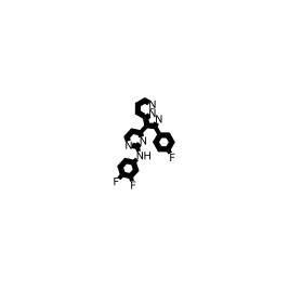 Fc1ccc(-c2nn3ncccc3c2-c2ccnc(Nc3ccc(F)c(F)c3)n2)cc1